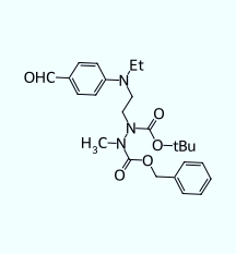 CCN(CCN(C(=O)OC(C)(C)C)N(C)C(=O)OCc1ccccc1)c1ccc(C=O)cc1